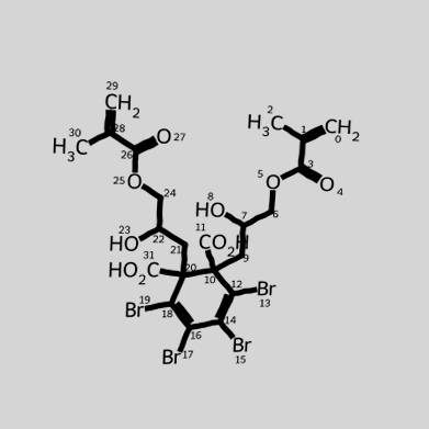 C=C(C)C(=O)OCC(O)CC1(C(=O)O)C(Br)=C(Br)C(Br)=C(Br)C1(CC(O)COC(=O)C(=C)C)C(=O)O